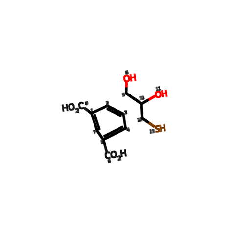 O=C(O)c1cccc(C(=O)O)c1.OCC(O)CS